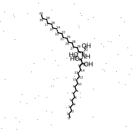 CCCCCCCCCCCCCCCCC(O)C(O)N[C@@H](CO)[C@H](O)CCCCCCCCCCCCCCC